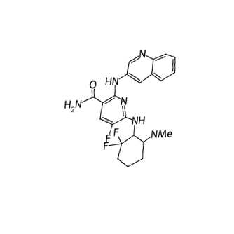 CNC1CCCC(F)(F)C1Nc1nc(Nc2cnc3ccccc3c2)c(C(N)=O)cc1F